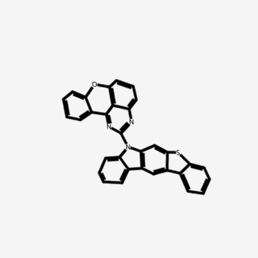 c1ccc2c(c1)Oc1cccc3nc(-n4c5ccccc5c5cc6c(cc54)sc4ccccc46)nc-2c13